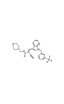 N#C/C(=C\c1cn(Cc2cccc(C(F)(F)F)c2)c2ncccc12)C(=O)OCC1CCOCC1